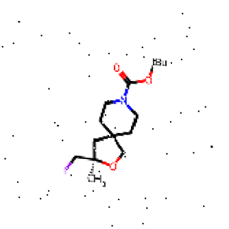 CC(C)(C)OC(=O)N1CCC2(CC1)CO[C@@](C)(CI)C2